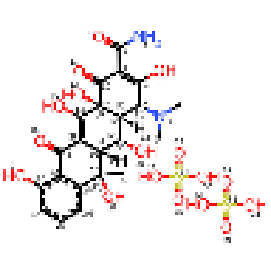 CN(C)[C@@H]1C(O)=C(C(N)=O)C(=O)[C@@]2(O)C(O)=C3C(=O)c4c(O)cccc4[C@@](C)(O)[C@H]3[C@H](O)[C@@H]12.O=S(=O)(O)O.O=S(=O)(O)O